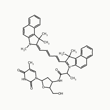 Cc1cn(C2CC(NC(=O)C(C)[N+]3=C(/C=C/C=C/C=C4/N(C)c5ccc6ccccc6c5C4(C)C)C(C)(C)c4c3ccc3ccccc43)C(CO)O2)c(=O)[nH]c1=O